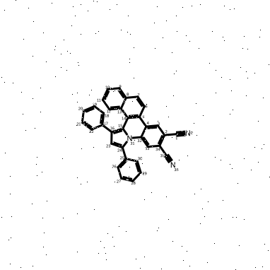 N#Cc1cc2c3ccc4ccccc4c3c3c(-c4ccccc4)cc(-c4ccccc4)n3c2cc1C#N